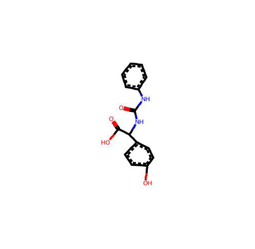 O=C(Nc1ccccc1)NC(C(=O)O)c1ccc(O)cc1